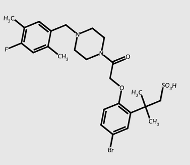 Cc1cc(CN2CCN(C(=O)COc3ccc(Br)cc3C(C)(C)CS(=O)(=O)O)CC2)c(C)cc1F